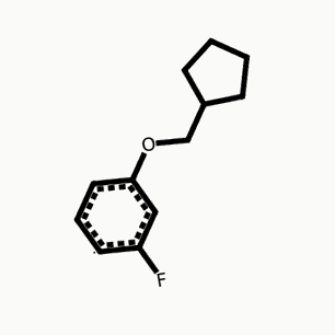 Fc1[c]ccc(OCC2CCCC2)c1